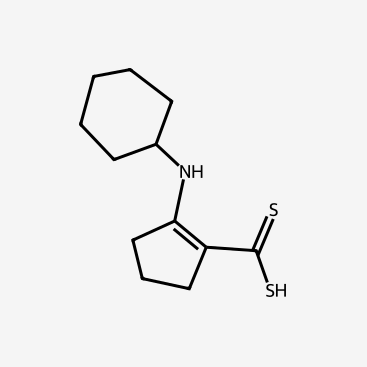 S=C(S)C1=C(NC2CCCCC2)CCC1